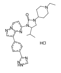 CCN1CCC(N2CC(C(C)C)N(c3ccn4ncc(-c5ccc(-c6nc[nH]n6)cc5)c4n3)C2=O)CC1.Cl